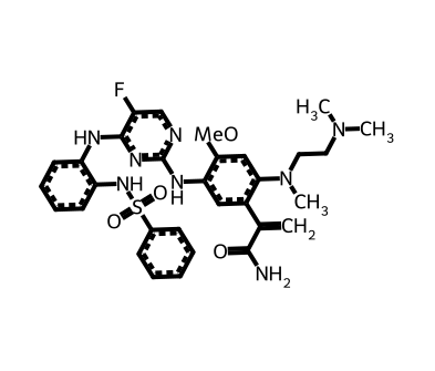 C=C(C(N)=O)c1cc(Nc2ncc(F)c(Nc3ccccc3NS(=O)(=O)c3ccccc3)n2)c(OC)cc1N(C)CCN(C)C